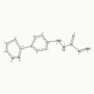 N=NC(=O)NNc1ccc(-c2cccnn2)cc1